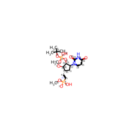 CO[C@@H]1[C@@H](/C=C/P(=O)(O)OC)CC(n2ccc(=O)[nH]c2=O)[C@@H]1OP(=O)(O)OC(C)(C)C